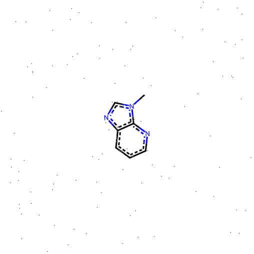 Cn1cnc2cc[c]nc21